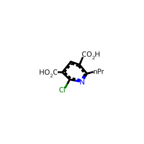 CCCc1nc(Cl)c(C(=O)O)cc1C(=O)O